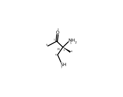 CC(=O)[C@](C)(N)CS